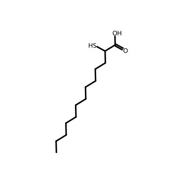 CCCCCCCCCCCC(S)C(=O)O